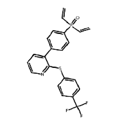 C=CP(=O)(C=C)c1ccc(-c2cccnc2Sc2ccc(C(F)(F)F)cc2)cc1